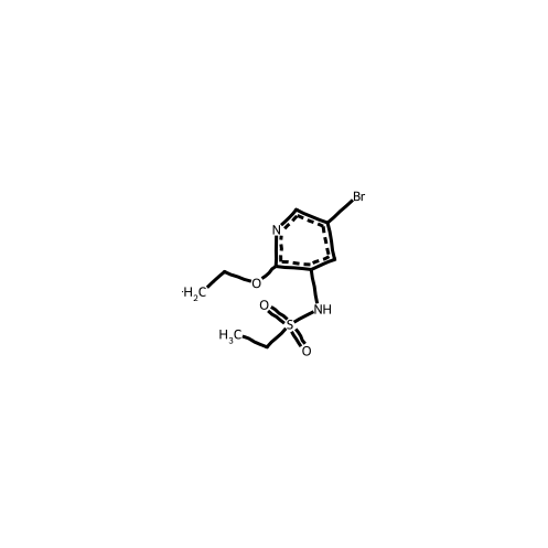 [CH2]COc1ncc(Br)cc1NS(=O)(=O)CC